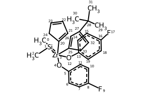 C[Si](C)=[Zr]([O]c1ccc(F)cc1)([O]c1ccc(F)cc1)([C]1=CC=CC1)[C]1=CC(C(C)(C)C)=CC1